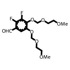 COCCOCOc1cc(C=O)c(F)c(F)c1OCOCCOC